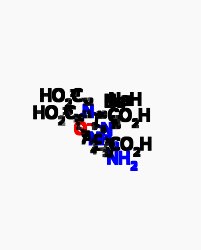 CC(=O)[O-].NCCN.O=C(O)CN(CCN(CC(=O)O)CC(=O)O)CC(=O)O.[Na+].[NaH]